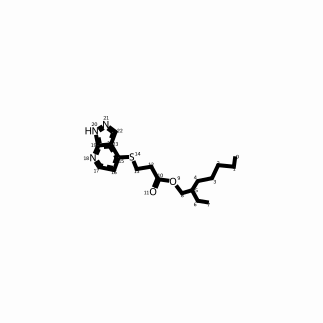 CCCCCC(CC)COC(=O)CCSc1ccnc2[nH]ncc12